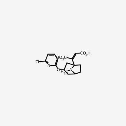 CN1C2CCC1(/C(=C\C(=O)O)C(=O)O)CC(Oc1cccc(Cl)n1)C2